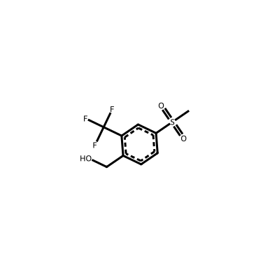 CS(=O)(=O)c1ccc(CO)c(C(F)(F)F)c1